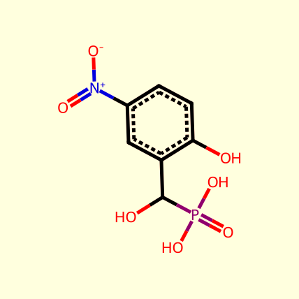 O=[N+]([O-])c1ccc(O)c(C(O)P(=O)(O)O)c1